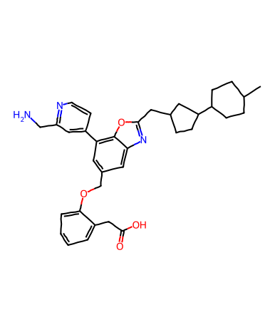 CC1CCC(C2CCC(Cc3nc4cc(COc5ccccc5CC(=O)O)cc(-c5ccnc(CN)c5)c4o3)C2)CC1